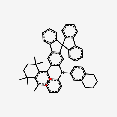 Cc1ccc(-c2cc3c(cc2N(c2ccccc2)c2ccc4c(c2)CCCC4)C2(c4ccccc4-c4ccccc42)c2ccccc2-3)c2c1C(C)(C)CCC2(C)C